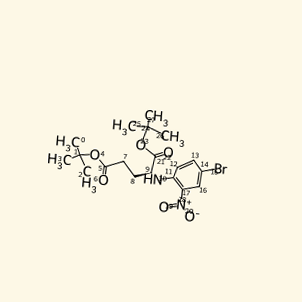 CC(C)(C)OC(=O)CC[C@H](Nc1ccc(Br)cc1[N+](=O)[O-])C(=O)OC(C)(C)C